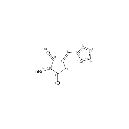 CCCCN1C(=O)C/C(=C\c2cccs2)C1=O